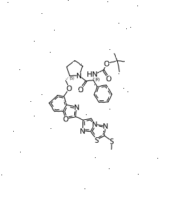 CSc1nn2cc(-c3nc4c(OC[C@@H]5CCCN5C(=O)[C@H](NC(=O)OC(C)(C)C)c5ccccc5)cccc4o3)nc2s1